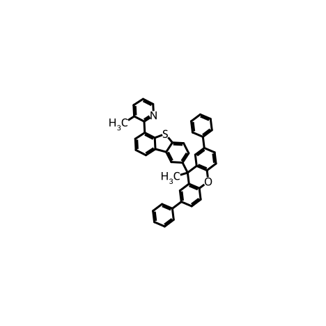 Cc1cccnc1-c1cccc2c1sc1ccc(C3(C)c4cc(-c5ccccc5)ccc4Oc4ccc(-c5ccccc5)cc43)cc12